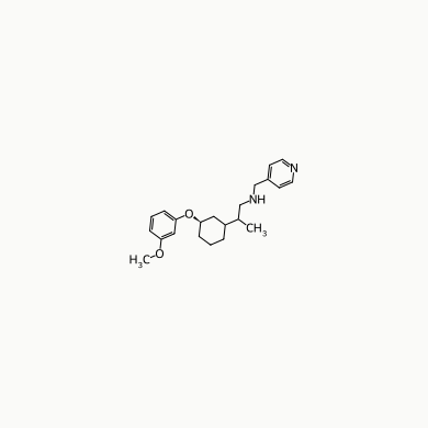 COc1cccc(O[C@@H]2CCCC(C(C)CNCc3ccncc3)C2)c1